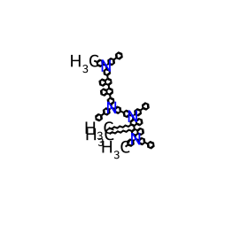 CCCCCCCCc1cc(N(c2ccc(C)cc2)c2ccc(-c3ccccc3)cc2)c2ccccc2c1-c1c(CCCCCCCC)cc(N(c2ccc(-c3ccccc3)cc2)c2ccc(-c3ccc(N(c4ccc(-c5ccccc5)cc4)c4ccc(-c5ccc(-c6ccc(-c7ccc(N(c8ccc(C)cc8)c8ccc(-c9ccccc9)cc8)cc7)c7ccccc67)c6ccccc56)cc4)cc3)cc2)c2ccccc12